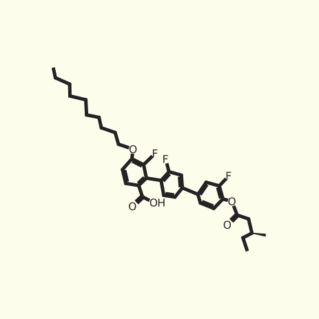 CCCCCCCCCCOc1ccc(C(=O)O)c(-c2ccc(-c3ccc(OC(=O)C[C@@H](C)CC)c(F)c3)cc2F)c1F